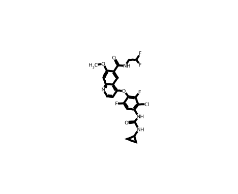 COc1cc2nccc(Oc3c(F)cc(NC(=O)NC4CC4)c(Cl)c3F)c2cc1C(=O)NCC(F)F